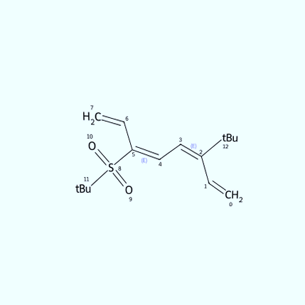 C=C/C(=C\C=C(/C=C)S(=O)(=O)C(C)(C)C)C(C)(C)C